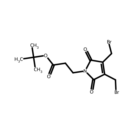 CC(C)(C)OC(=O)CCN1C(=O)C(CBr)=C(CBr)C1=O